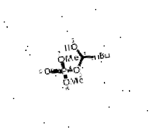 CCCCC(O)OP(=O)(OC)OC